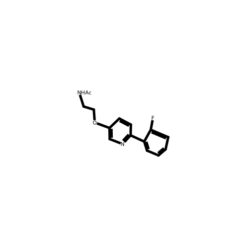 CC(=O)NCCOc1ccc(-c2ccccc2F)nc1